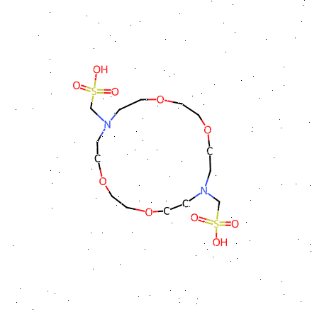 O=S(=O)(O)CN1CCOCCOCCN(CS(=O)(=O)O)CCOCCOCC1